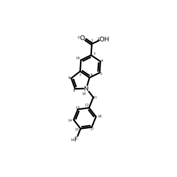 O=C(O)c1ccc2c(ccn2Cc2ccc(F)cc2)c1